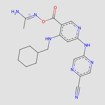 C/C(N)=N\OC(=O)c1cnc(Nc2cnc(C#N)cn2)cc1NCC1CCCCC1